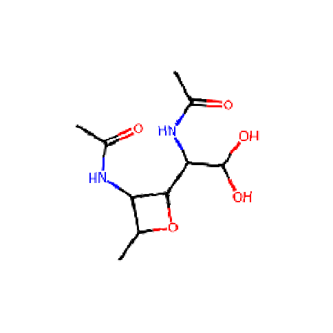 CC(=O)NC(C(O)O)C1OC(C)C1NC(C)=O